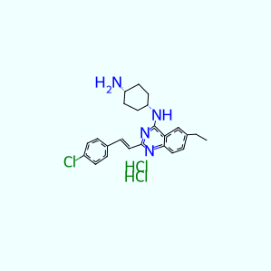 CCc1ccc2nc(C=Cc3ccc(Cl)cc3)nc(N[C@H]3CC[C@@H](N)CC3)c2c1.Cl.Cl